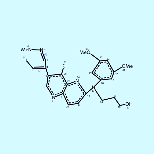 CN/N=C\C(=C/I)c1cnc2ccc(N(CCCO)c3cc(OC)cc(OC)c3)nc2c1Cl